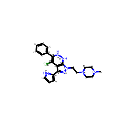 CN1CCN(CCn2nc(-c3ccc[nH]3)c3c2NNC(c2ccccc2)=C3Cl)CC1